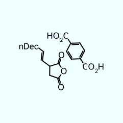 CCCCCCCCCCC=CC1CC(=O)OC1=O.O=C(O)c1ccc(C(=O)O)cc1